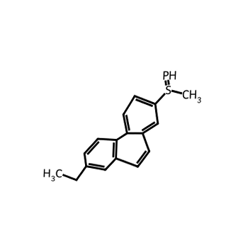 CCc1ccc2c(ccc3cc(S(C)=P)ccc32)c1